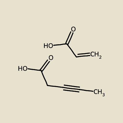 C=CC(=O)O.CC#CCC(=O)O